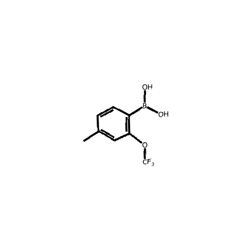 Cc1ccc(B(O)O)c(OC(F)(F)F)c1